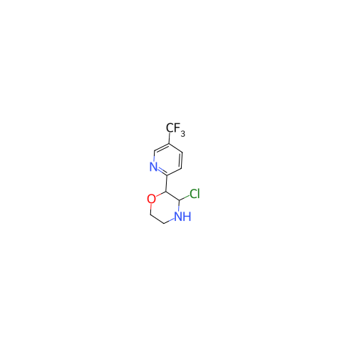 FC(F)(F)c1ccc(C2OCCNC2Cl)nc1